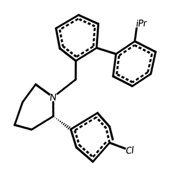 CC(C)c1ccccc1-c1ccccc1CN1CCCC[C@H]1c1ccc(Cl)cc1